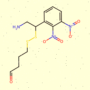 NCC(SSCCCC=O)c1cccc([N+](=O)[O-])c1[N+](=O)[O-]